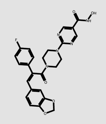 O=C(NO)c1cnc(N2CCN(C(=O)C(=Cc3ccc4c(c3)OCO4)c3ccc(F)cc3)CC2)nc1